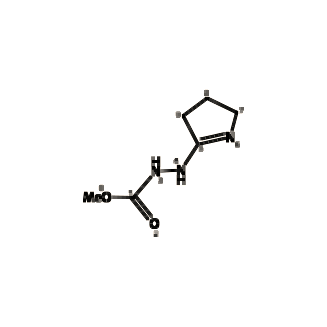 COC(=O)NNC1=NCCC1